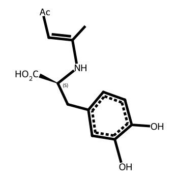 CC(=O)C=C(C)N[C@@H](Cc1ccc(O)c(O)c1)C(=O)O